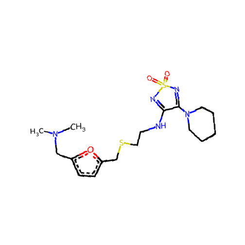 CN(C)Cc1ccc(CSCCNC2=NS(=O)(=O)N=C2N2CCCCC2)o1